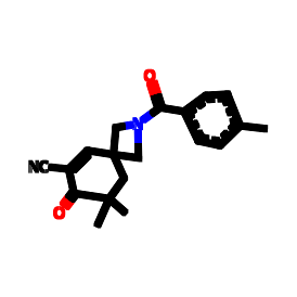 Cc1ccc(C(=O)N2CC3(C=C(C#N)C(=O)C(C)(C)C3)C2)cc1